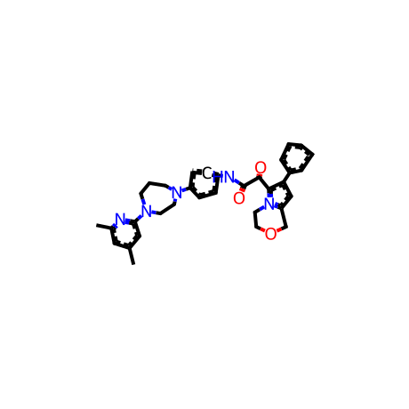 Cc1cc(C)nc(N2CCCN(c3ccc(NC(=O)C(=O)c4c(-c5ccccc5)cc5n4CCOC5)cc3)CC2)c1